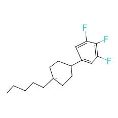 CCCCC[C]1CCC(c2cc(F)c(F)c(F)c2)CC1